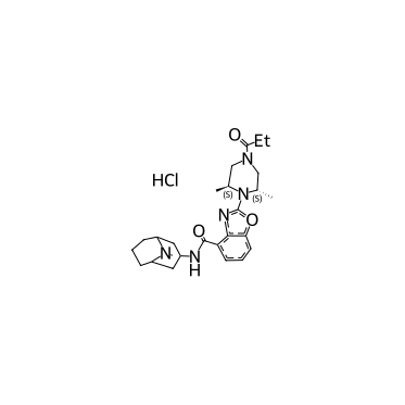 CCC(=O)N1C[C@H](C)N(c2nc3c(C(=O)NC4CC5CCCC(C4)N5C)cccc3o2)[C@@H](C)C1.Cl